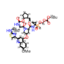 C=C[C@@H]1C[C@]1(NC(=O)C1C[C@@H](Oc2cc(-c3csc(NC(C)C)n3)nc3cc(OC)ccc23)CN1C(=O)[C@@H](NC(=O)OC1CCCC1)C(C)(C)C)P(C)(=O)OCOC(=O)OCCCC